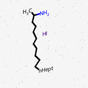 CCCCCCCCCCCCCCCCC(C)N.I